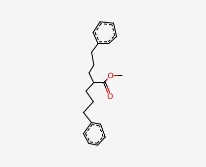 COC(=O)C(CCCc1ccccc1)CCCc1ccccc1